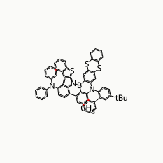 Cc1cc2c3c(c1)N(c1ccc(C(C)(C)C)cc1-c1ccccc1)c1cc4c(cc1B3n1c3sc5ccccc5c3c3c(N(c5ccccc5)c5ccccc5)ccc-2c31)Sc1ccccc1S4